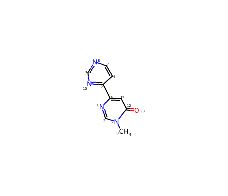 Cn1cnc(-c2ccncn2)cc1=O